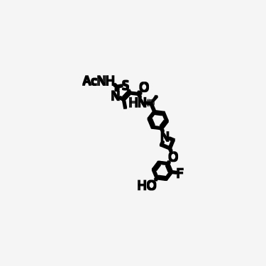 CC(=O)Nc1nc(C)c(C(=O)N[C@@H](C)c2ccc(N3CC(Oc4ccc(O)cc4F)C3)cc2)s1